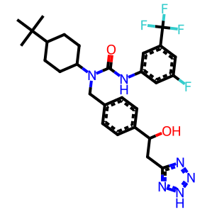 CC(C)(C)C1CCC(N(Cc2ccc(C(O)Cc3nn[nH]n3)cc2)C(=O)Nc2cc(F)cc(C(F)(F)F)c2)CC1